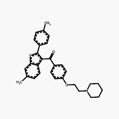 Cc1ccc(-c2sc3cc(C)ccc3c2C(=O)c2ccc(OCCN3CCCCC3)cc2)cc1